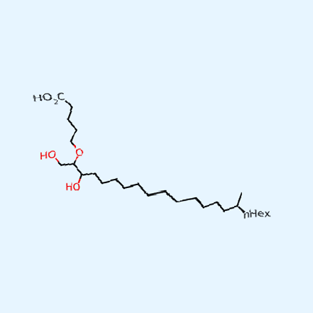 CCCCCC[C@H](C)CCCCCCCCCCCCC(O)C(CO)OCCCCC(=O)O